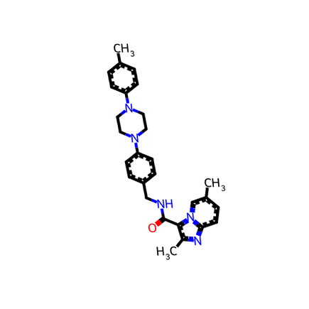 Cc1ccc(N2CCN(c3ccc(CNC(=O)c4c(C)nc5ccc(C)cn45)cc3)CC2)cc1